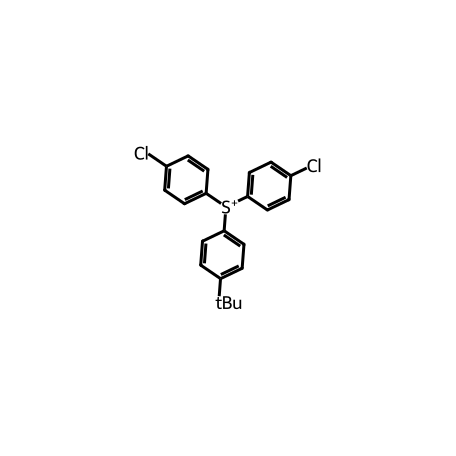 CC(C)(C)c1ccc([S+](c2ccc(Cl)cc2)c2ccc(Cl)cc2)cc1